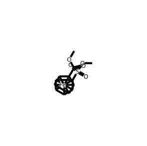 COC(=O)[C]12[CH]3[CH]4[CH]5[CH]1[Fe]45321678[CH]2[CH]1[CH]6[C]7(S(=O)(=O)OC)[CH]28